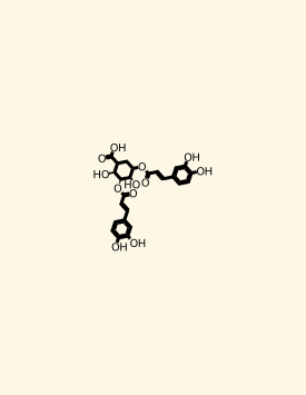 O=C(/C=C/c1ccc(O)c(O)c1)OC1CC(C(=O)O)[C@H](O)[C@@H](OC(=O)/C=C/c2ccc(O)c(O)c2)[C@@H]1O